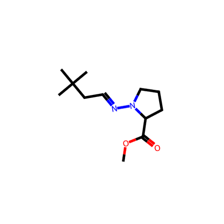 COC(=O)C1CCCN1/N=C/CC(C)(C)C